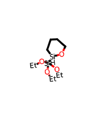 CCO[Si](OCC)(OCC)[SiH]1CCCCO1